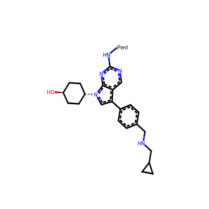 CCCC(C)Nc1ncc2c(-c3ccc(CNCC4CC4)cc3)cn([C@H]3CC[C@H](O)CC3)c2n1